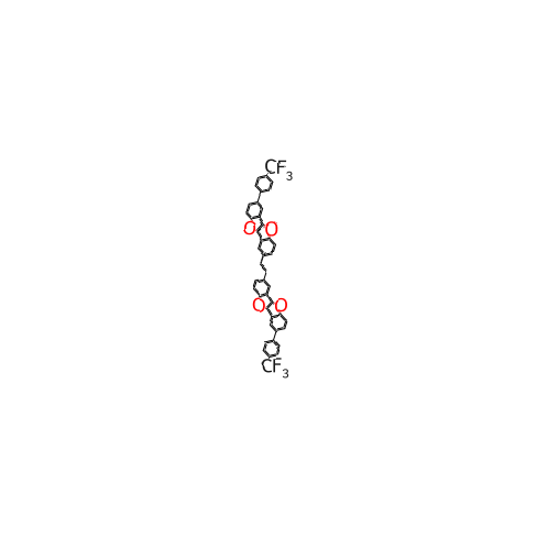 FC(F)(F)c1ccc(-c2ccc3oc4c5cc(/C=C/c6ccc7oc8c9cc(-c%10ccc(C(F)(F)F)cc%10)ccc9oc8c7c6)ccc5oc4c3c2)cc1